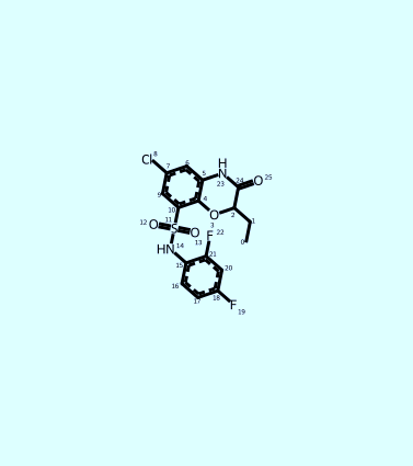 CCC1Oc2c(cc(Cl)cc2S(=O)(=O)Nc2ccc(F)cc2F)NC1=O